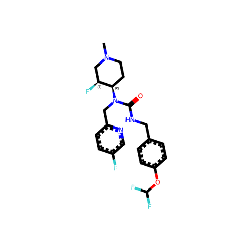 CN1CC[C@@H](N(Cc2ccc(F)cn2)C(=O)NCc2ccc(OC(F)F)cc2)[C@@H](F)C1